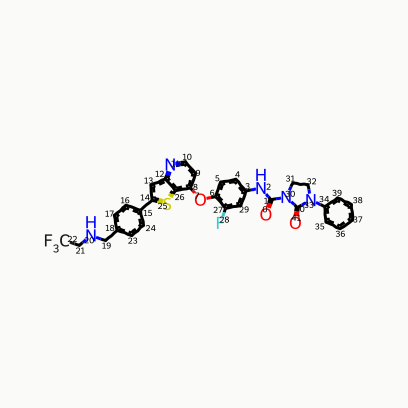 O=C(Nc1ccc(Oc2ccnc3cc(-c4ccc(CNCC(F)(F)F)cc4)sc23)c(F)c1)N1CCN(c2ccccc2)C1=O